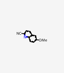 COc1ccc2nc(C#N)ccc2c1